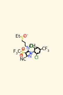 CC[S+]([O-])CCCN(C)c1c(S(=O)(=O)C(F)(F)F)c(C#N)nn1-c1c(Cl)cc(C(F)(F)F)cc1Cl